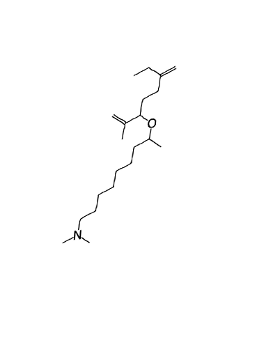 C=C(CC)CCC(OC(C)CCCCCCCN(C)C)C(=C)C